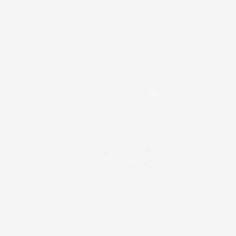 N#Cc1[nH]nnc1-c1cc(OC(F)F)cc(-c2cc(F)cc(C(F)(F)F)c2)c1